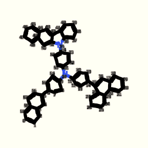 c1ccc2cc(-c3ccc(N(c4ccc(-c5cc6ccccc6c6ccccc56)cc4)c4ccc(-n5c6ccccc6c6cc7ccccc7cc65)cc4)cc3)ccc2c1